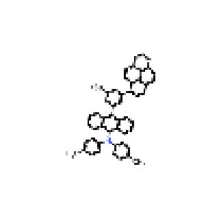 Cc1ccc(N(c2ccc(C)cc2)c2c3ccccc3c(-c3cc(-c4ccc5ccc6cccc7ccc4c5c67)cc(C(C)(C)C)c3)c3ccccc23)cc1